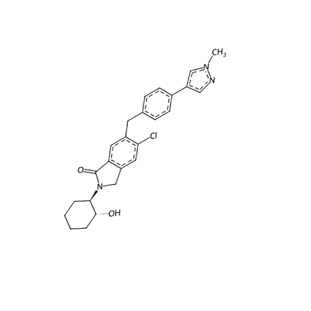 Cn1cc(-c2ccc(Cc3cc4c(cc3Cl)CN([C@@H]3CCCC[C@H]3O)C4=O)cc2)cn1